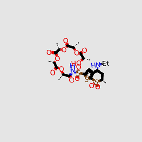 CCN[C@H]1C[C@H](C)S(=O)(=O)c2sc(S(=O)(=O)NC(=O)[C@H](C)OC(=O)[C@H](C)OC(=O)[C@H](C)OC(=O)[C@H](C)OC(=O)[C@H](C)O)cc21